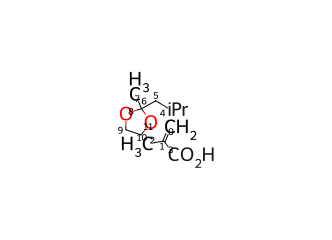 C=C(C)C(=O)O.CC(C)CC1(C)OCCO1